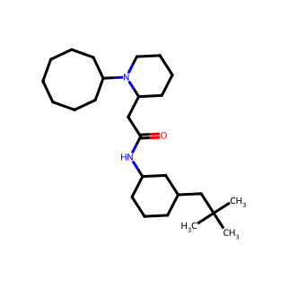 CC(C)(C)CC1CCCC(NC(=O)CC2CCCCN2C2CCCCCCC2)C1